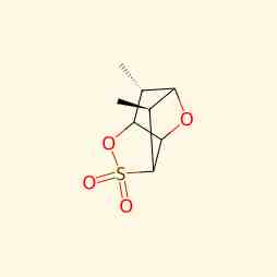 C[C@H]1C2OS(=O)(=O)C3C2OC1[C@@H]3C